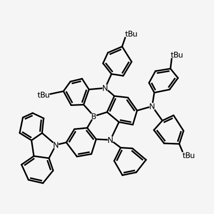 CC(C)(C)c1ccc(N(c2ccc(C(C)(C)C)cc2)c2cc3c4c(c2)N(c2ccc(C(C)(C)C)cc2)c2ccc(C(C)(C)C)cc2B4c2cc(-n4c5ccccc5c5ccccc54)ccc2N3c2ccccc2)cc1